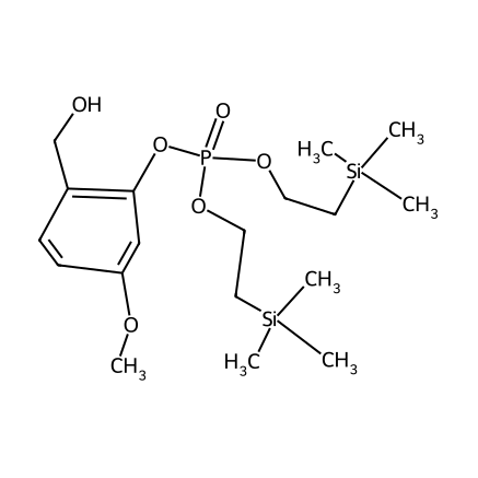 COc1ccc(CO)c(OP(=O)(OCC[Si](C)(C)C)OCC[Si](C)(C)C)c1